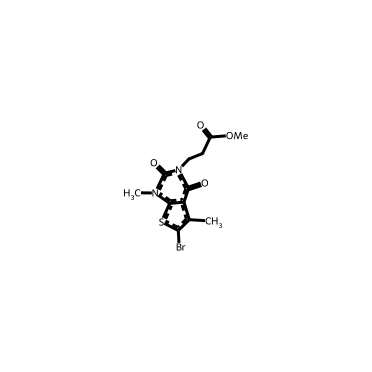 COC(=O)CCn1c(=O)c2c(C)c(Br)sc2n(C)c1=O